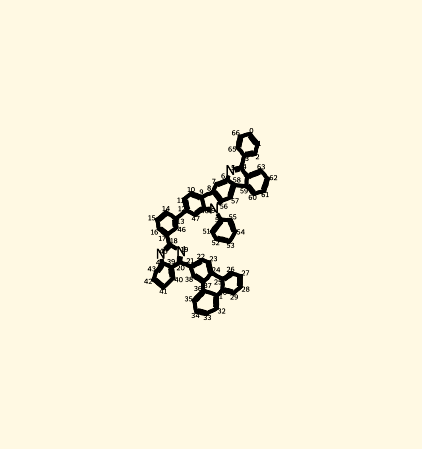 c1ccc(-c2nc3cc4c5ccc(-c6cccc(-c7nc(-c8ccc9c%10ccccc%10c%10ccccc%10c9c8)c8ccccc8n7)c6)cc5n(-c5ccccc5)c4cc3c3ccccc23)cc1